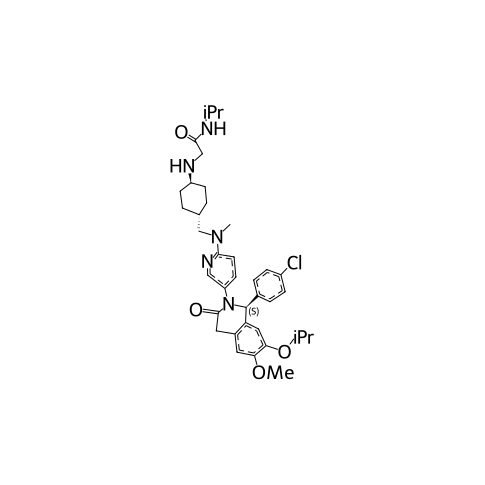 COc1cc2c(cc1OC(C)C)[C@H](c1ccc(Cl)cc1)N(c1ccc(N(C)C[C@H]3CC[C@H](NCC(=O)NC(C)C)CC3)nc1)C(=O)C2